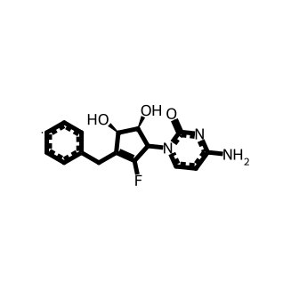 Nc1ccn(C2C(F)=C(Cc3cc[c]cc3)[C@@H](O)[C@H]2O)c(=O)n1